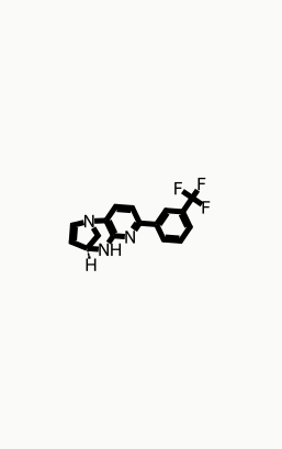 FC(F)(F)c1cccc(-c2ccc3c(n2)N[C@H]2C=CN3C2)c1